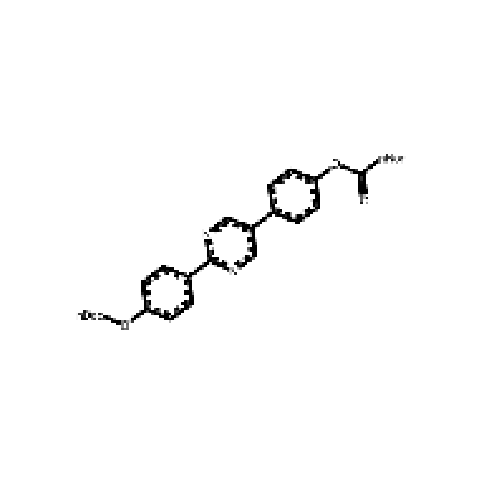 CCCCCCCCCCOc1ccc(-c2ncc(-c3ccc(OC(=O)CCCCCCCCC)cc3)cn2)cc1